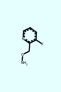 NOCc1ncccc1F